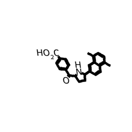 Cc1ccc(C)c2cc(C3CCC(C(=O)c4ccc(C(=O)O)cc4)N3)ccc12